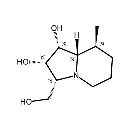 C[C@H]1CCCN2[C@@H]1[C@@H](O)[C@@H](O)[C@H]2CO